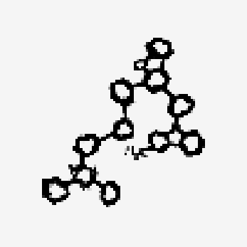 Cc1ccc2c(c1)c1ccccc1n2-c1cccc(-c2cc(-c3cccc(-c4cccc(-c5cccc(-c6nc(-c7ccccc7)nc(-c7ccccc7)n6)c5)c4)c3)c3oc4ccccc4c3c2)c1